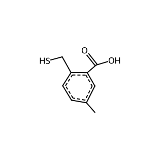 Cc1ccc(CS)c(C(=O)O)c1